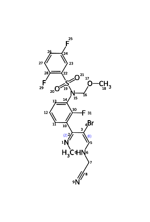 C/N=C(\C(Br)=C/NCC#N)c1cccc(N(COC)S(=O)(=O)c2cc(F)ccc2F)c1F